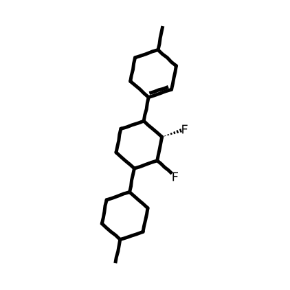 CC1CC=C(C2CCC(C3CCC(C)CC3)C(F)[C@H]2F)CC1